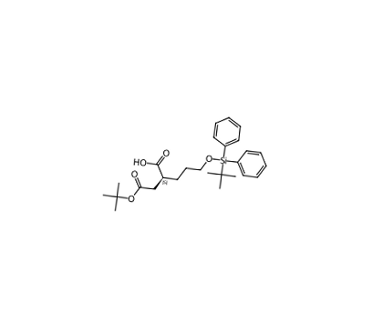 CC(C)(C)OC(=O)C[C@H](CCCO[Si](c1ccccc1)(c1ccccc1)C(C)(C)C)C(=O)O